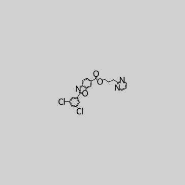 O=C(OCCCc1ncccn1)c1ccc2nc(-c3cc(Cl)cc(Cl)c3)oc2c1